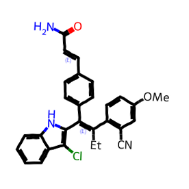 CC/C(=C(/c1ccc(/C=C/C(N)=O)cc1)c1[nH]c2ccccc2c1Cl)c1ccc(OC)cc1C#N